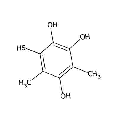 Cc1c(O)c(C)c(S)c(O)c1O